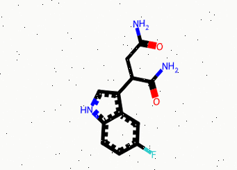 NC(=O)CC(C(N)=O)c1c[nH]c2ccc(F)cc12